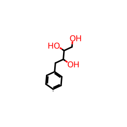 OCC(O)C(O)Cc1cc[c]cc1